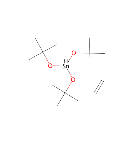 C=C.CC(C)(C)[O][SnH]([O]C(C)(C)C)[O]C(C)(C)C